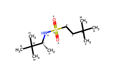 C[C@@H](NS(=O)(=O)CCC(C)(C)C)C(C)(C)C